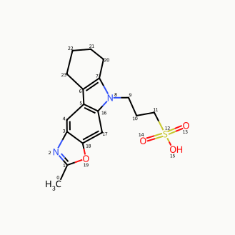 Cc1nc2cc3c4c(n(CCCS(=O)(=O)O)c3cc2o1)CCCC4